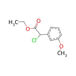 CCOC(=O)C(Cl)c1cccc(OC)c1